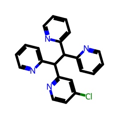 Clc1ccnc(C(c2ccccn2)C(c2ccccn2)c2ccccn2)c1